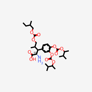 CCC(C)COC(=O)OCC(C)C(c1ccc(OC(=O)OC(C)C(C)C)c(OC(=O)OC(C)C(C)C)c1)[C@H](N)C(=O)O